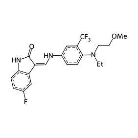 CCN(CCOC)c1ccc(NC=C2C(=O)Nc3ccc(F)cc32)cc1C(F)(F)F